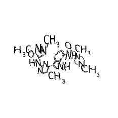 CCn1cc(Nc2ncc(C)c(-c3c[nH]c4c(NC(=O)C(C)N5CCN(C)CC5)cccc34)n2)c(OC)n1